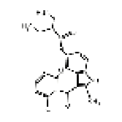 CCC(CC)C(=O)Nc1ccc2[nH]c(C)c(C(=O)c3c(Cl)cccc3Cl)c2c1